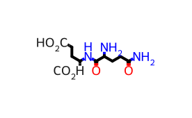 NC(=O)CCC(N)C(=O)NC(CCC(=O)O)C(=O)O